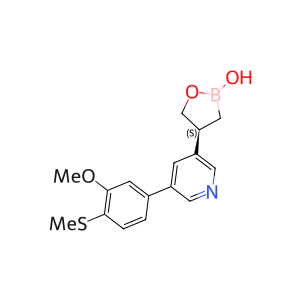 COc1cc(-c2cncc([C@H]3COB(O)C3)c2)ccc1SC